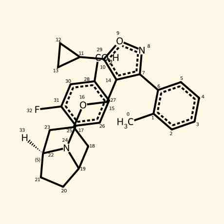 Cc1ccccc1-c1noc(C2CC2)c1COC1CC2CC[C@@H](C1)N2c1ccc(C(=O)O)cc1F